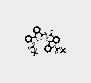 CC(C)(C)OC(=O)Oc1ccccc1C(=O)c1ccccc1C(=O)OOC(=O)c1ccccc1C(=O)c1ccccc1OC(=O)OC(C)(C)C